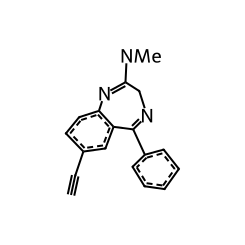 C#Cc1ccc2c(c1)C(c1ccccc1)=NCC(NC)=N2